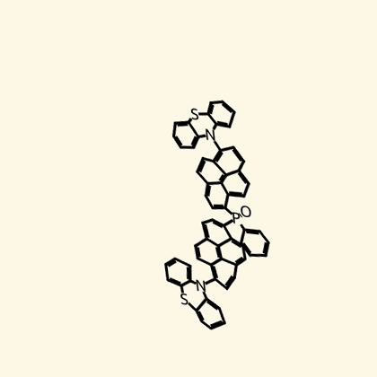 O=P(c1ccccc1)(c1ccc2ccc3c(N4c5ccccc5Sc5ccccc54)ccc4ccc1c2c43)c1ccc2ccc3c(N4c5ccccc5Sc5ccccc54)ccc4ccc1c2c43